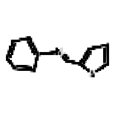 C(=N\c1ccccc1)/c1cccs1